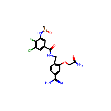 C[S+]([O-])Nc1cc(C(=O)NCc2ccc(C(=N)N)cc2OCC(N)=O)cc(Cl)c1F